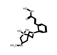 O=C(O)NC1CC2(CN(c3ccccc3/C=C/C(=O)NO)C2)S(O)(O)C1